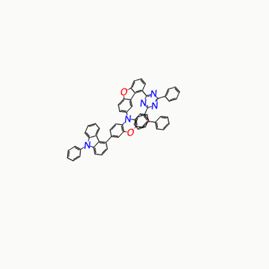 c1ccc(-c2ccc3c(c2)Oc2cc(-c4cccc5c4c4ccccc4n5-c4ccccc4)ccc2N3c2ccc3oc4cccc(-c5nc(-c6ccccc6)nc(-c6ccccc6)n5)c4c3c2)cc1